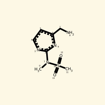 CN(c1nccc(CN)n1)S(C)(=O)=O